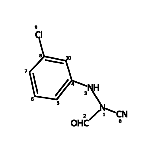 N#CN(C=O)Nc1cccc(Cl)c1